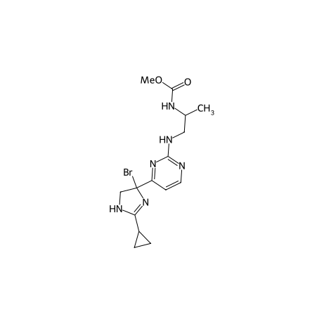 COC(=O)NC(C)CNc1nccc(C2(Br)CNC(C3CC3)=N2)n1